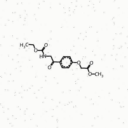 CCOC(=O)NCC(=O)c1ccc(OCC(=O)OC)cc1